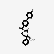 CC(c1ccc(-c2ccc(F)cc2)cc1)N1CCC(CC(=O)O)(c2ccccc2)OC1=O